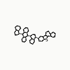 c1ccc2c(-c3c4ccccc4c(-c4ccc(-c5ccc6sc7c8ccccc8ccc7c6c5)c5ccccc45)c4ccccc34)cccc2c1